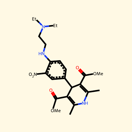 CCN(CC)CCNc1ccc(C2C(C(=O)OC)=C(C)NC(C)=C2C(=O)OC)cc1[N+](=O)[O-]